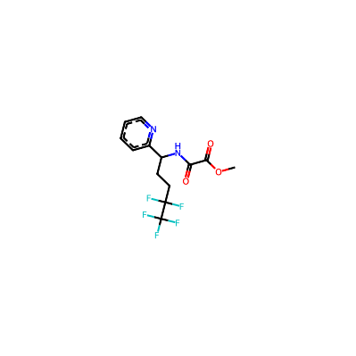 COC(=O)C(=O)NC(CCC(F)(F)C(F)(F)F)c1ccccn1